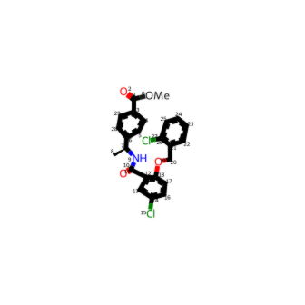 COC(=O)c1ccc([C@H](C)NC(=O)c2cc(Cl)ccc2OCc2ccccc2Cl)cc1